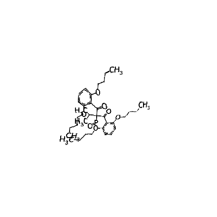 CCCCOc1cccc(OCCCC)c1C(=O)C(P=O)(C(=O)c1c(OCCCC)cccc1OCCCC)C(C)C